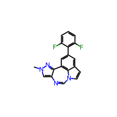 Cn1cc2c(n1)-c1cc(-c3c(F)cccc3F)cc3ccn(c13)C=N2